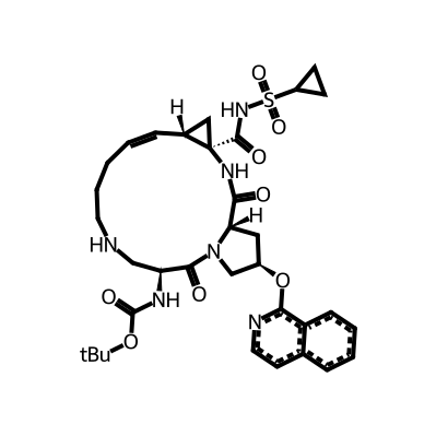 CC(C)(C)OC(=O)N[C@H]1CNCCC/C=C\[C@@H]2C[C@@]2(C(=O)NS(=O)(=O)C2CC2)NC(=O)[C@@H]2C[C@@H](Oc3nccc4ccccc34)CN2C1=O